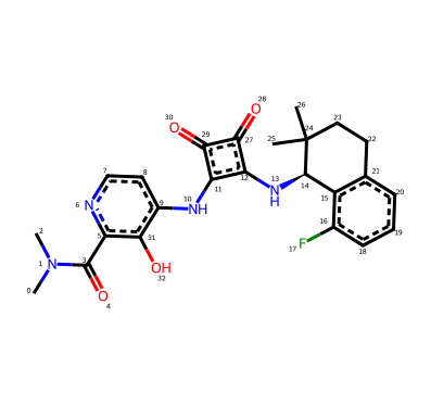 CN(C)C(=O)c1nccc(Nc2c(N[C@@H]3c4c(F)cccc4CCC3(C)C)c(=O)c2=O)c1O